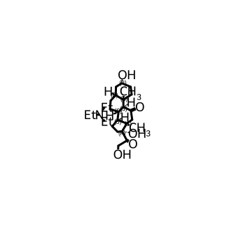 CCN(CC)CC.C[C@]12CC[C@@H](O)C[C@H]1CC[C@@H]1[C@@H]2C(=O)C[C@@]2(C)[C@H]1CC[C@]2(O)C(=O)CO